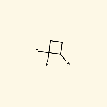 FC1(F)CCC1Br